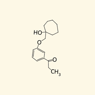 CCC(=O)c1cccc(OCC2(O)CCCCCC2)c1